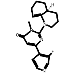 Cn1c(N2CCC[C@@H]3CCCC=C32)nc(-c2ccncc2F)cc1=O